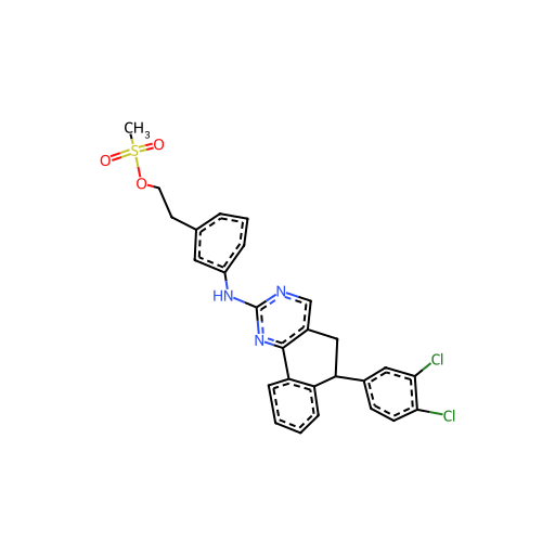 CS(=O)(=O)OCCc1cccc(Nc2ncc3c(n2)-c2ccccc2C(c2ccc(Cl)c(Cl)c2)C3)c1